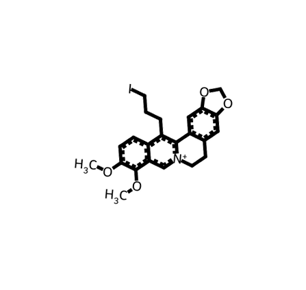 COc1ccc2c(CCCI)c3[n+](cc2c1OC)CCc1cc2c(cc1-3)OCO2